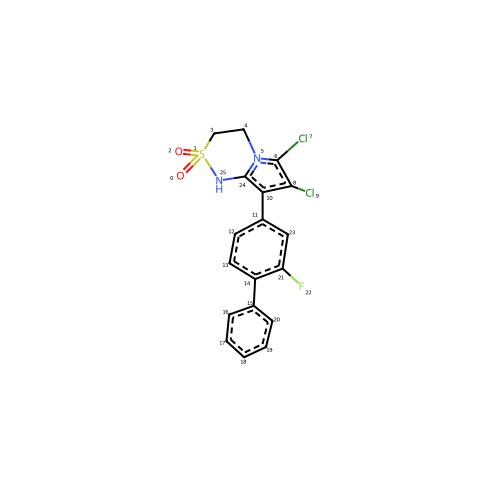 O=S1(=O)CCn2c(Cl)c(Cl)c(-c3ccc(-c4ccccc4)c(F)c3)c2N1